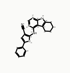 N#Cc1cc(-c2ccccc2)oc1Nc1ncnc2[se]c3c(c12)CCCC3